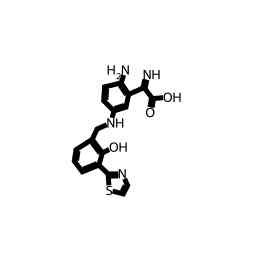 N=C(C(=O)O)c1cc(NCc2cccc(-c3nccs3)c2O)ccc1N